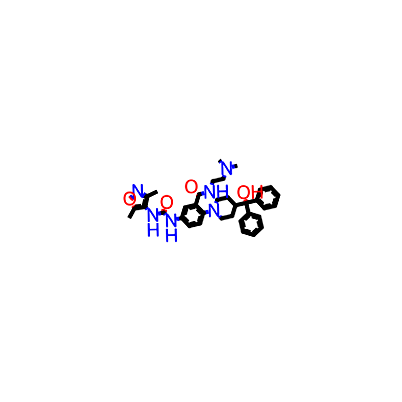 Cc1noc(C)c1NC(=O)Nc1ccc(N2CCC(C(O)(c3ccccc3)c3ccccc3)CC2)c(C(=O)NCCN(C)C)c1